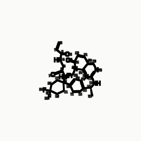 C=CC(=O)NCC(=O)NC1(c2ccc([C@H](C)Nc3ncc4ccc(=O)n(C(C)C)c4n3)cc2)CCC(F)(F)CC1